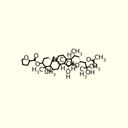 CC(=O)O[C@@H]([C@H]1C[C@@H](C)[C@H]2[C@H](O1)[C@H](O)[C@@]1(C)[C@@H]3CC[C@H]4C(C)(C)C(OC(=O)C5CCCO5)CC[C@@]45C[C@@]35CC[C@]21C)C(C)(C)O